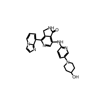 O=C1NCc2c(-c3cccn4ccnc34)ncc(Nc3ccc(N4CCC(O)CC4)cn3)c21